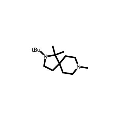 CN1CCC2(CC1)CCN(C(C)(C)C)C2(C)C